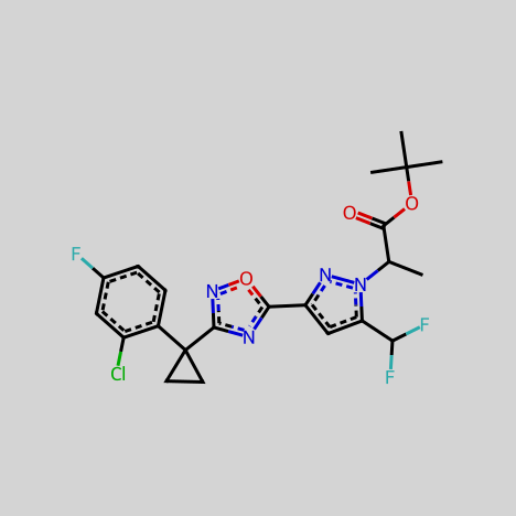 CC(C(=O)OC(C)(C)C)n1nc(-c2nc(C3(c4ccc(F)cc4Cl)CC3)no2)cc1C(F)F